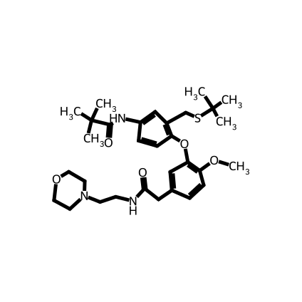 COc1ccc(CC(=O)NCCN2CCOCC2)cc1Oc1ccc(NC(=O)C(C)(C)C)cc1CSC(C)(C)C